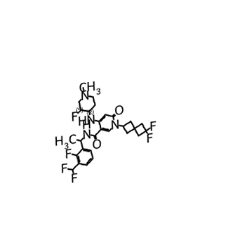 CC(NC(=O)c1cn(C2CC3(C2)CC(F)(F)C3)c(=O)cc1N[C@@H]1CCN(C)C[C@@H]1F)c1cccc(C(F)F)c1F